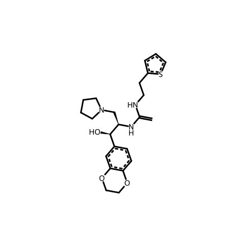 C=C(NCCc1cccs1)N[C@H](CN1CCCC1)[C@H](O)c1ccc2c(c1)OCCO2